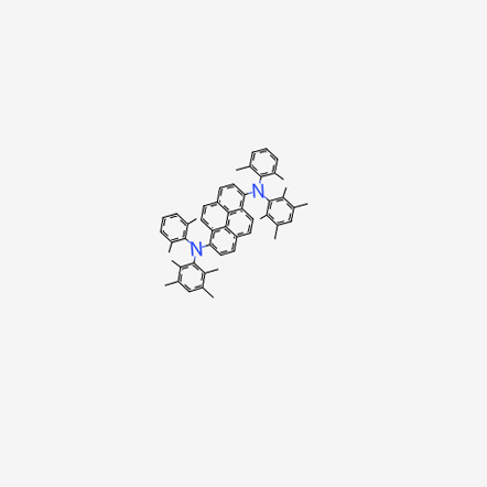 Cc1cc(C)c(C)c(N(c2c(C)cccc2C)c2ccc3ccc4c(N(c5c(C)cccc5C)c5c(C)c(C)cc(C)c5C)ccc5ccc2c3c54)c1C